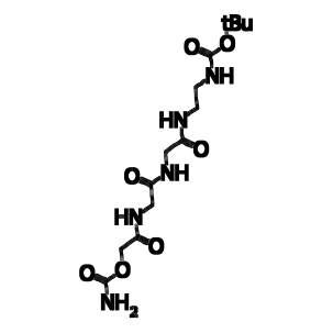 CC(C)(C)OC(=O)NCCNC(=O)CNC(=O)CNC(=O)COC(N)=O